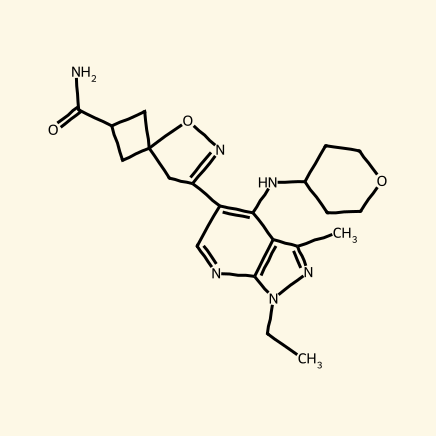 CCn1nc(C)c2c(NC3CCOCC3)c(C3=NOC4(C3)CC(C(N)=O)C4)cnc21